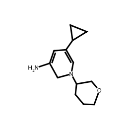 NC1=CC(C2CC2)=CN(C2CCCOC2)C1